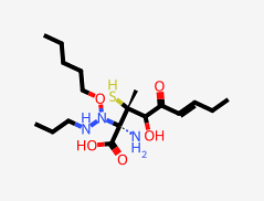 CCC=CC(=O)C(O)[C@@](C)(S)[C@@](N)(C(=O)O)N(NCCC)OCCCCC